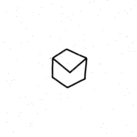 C1C[C]2CC(C1)C2